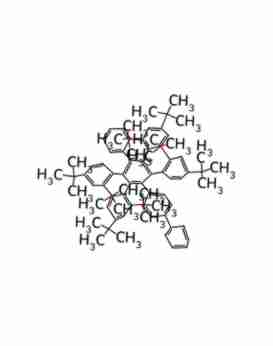 CC(C)(C)c1ccc(-c2c(-c3ccccc3)c(-c3ccc(C(C)(C)C)cc3C(C)(C)C)c(-c3ccc(C(C)(C)C)cc3C(C)(C)C)c(-c3ccc(-c4ccccc4)cc3)c2-c2ccc(C(C)(C)C)cc2C(C)(C)C)c(C(C)(C)C)c1